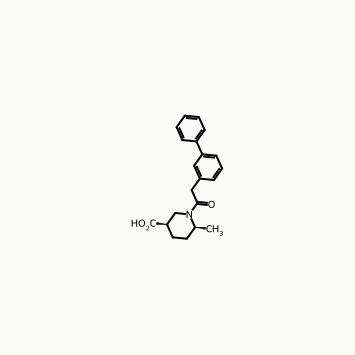 C[C@H]1CC[C@@H](C(=O)O)CN1C(=O)Cc1cccc(-c2ccccc2)c1